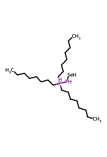 CCCCCCCC[PH](CCCCCCCC)(CCCCCCCC)P[SeH]